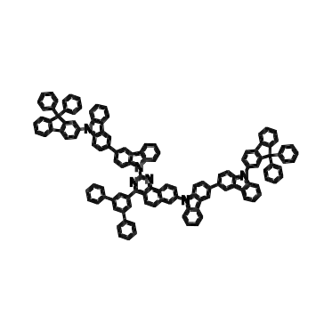 c1ccc(-c2cc(-c3ccccc3)cc(-c3nc(-n4c5ccccc5c5cc(-c6ccc7c(c6)c6ccccc6n7-c6ccc7c(c6)C(c6ccccc6)(c6ccccc6)c6ccccc6-7)ccc54)nc4c3ccc3cc(-n5c6ccccc6c6cc(-c7ccc8c(c7)c7ccccc7n8-c7ccc8c(c7)C(c7ccccc7)(c7ccccc7)c7ccccc7-8)ccc65)ccc34)c2)cc1